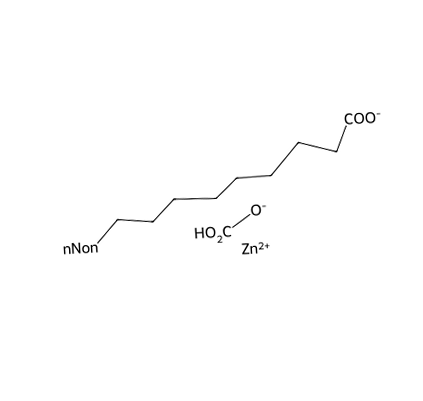 CCCCCCCCCCCCCCCCCC(=O)[O-].O=C([O-])O.[Zn+2]